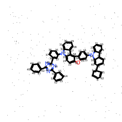 c1ccc(-c2ccc3c4ccccc4n(-c4ccc5c(c4)oc4ccc6c(c7ccccc7n6-c6cccc(-c7nc(-c8ccccc8)nc(-c8ccccc8)n7)c6)c45)c3c2)cc1